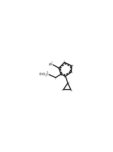 CCOC(=O)Cc1c(C(C)C)cccc1C1CC1